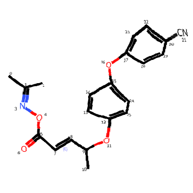 CC(C)=NOC(=O)/C=C/C(C)Oc1ccc(Oc2ccc(C#N)cc2)cc1